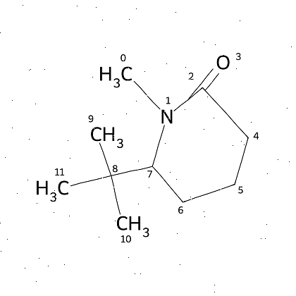 CN1C(=O)CCCC1C(C)(C)C